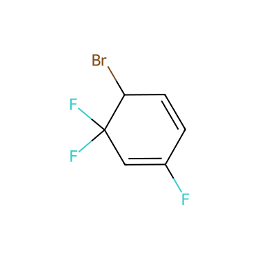 FC1=CC(F)(F)C(Br)C=C1